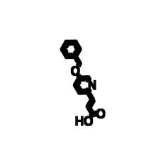 O=C(O)C=Cc1ccc(OCc2ccccc2)cn1